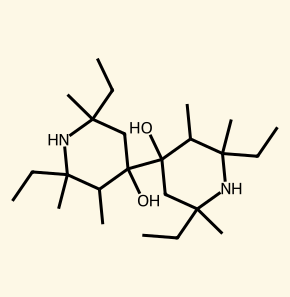 CCC1(C)CC(O)(C2(O)CC(C)(CC)NC(C)(CC)C2C)C(C)C(C)(CC)N1